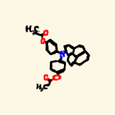 C=CC(=O)Oc1ccc(N(c2ccc(OC(=O)C=C)cc2)c2ccc3ccc4c5c3c2CC=C5CC=C4)cc1